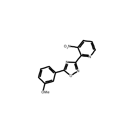 COc1cccc(-c2nc(-c3ncccc3[N+](=O)[O-])no2)c1